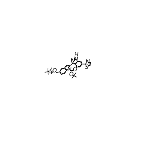 CC(C)(C)OC(=O)n1c(-c2n[nH]c3cc(-c4nccs4)ccc23)cc2cc(CO[Si](C)(C)C(C)(C)C)ccc21